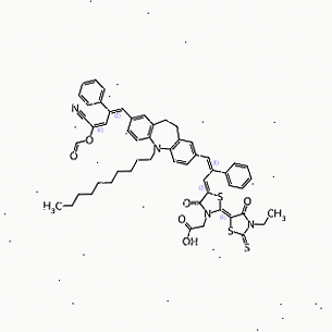 CCCCCCCCCCN1c2ccc(/C=C(\C=c3/s/c(=C4/SC(=S)N(CC)C4=O)n(CC(=O)O)c3=O)c3ccccc3)cc2CCc2cc(/C=C(\C=C(/C#N)OC=O)c3ccccc3)ccc21